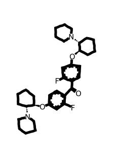 O=C(c1ccc(O[C@@H]2CCCC[C@H]2N2CCCCC2)cc1F)c1ccc(O[C@@H]2CCCC[C@H]2N2CCCCC2)cc1F